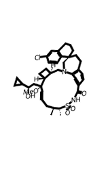 CO[C@@]1(C[C@@H](O)C2CC2)/C=C/C[C@H](C)[C@@H](C)S(=O)(=O)NC(=O)c2ccc3c(c2)N(C[C@@H]2CC[C@H]21)C[C@@]1(CCCc2cc(Cl)ccc21)CC3